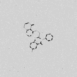 C[C@H](Nc1ncnc2c1C(=O)C=CC2)c1nc2ccc(F)cc2c(=O)n1-c1ccccc1